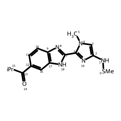 CSNc1cn(C)c(-c2nc3ccc(C(=O)C(C)C)cc3[nH]2)n1